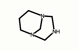 C1CN2CNCN(C1)C2